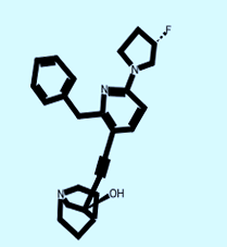 O[C@]1(C#Cc2ccc(N3CC[C@H](F)C3)nc2Cc2ccccc2)CN2CCC1CC2